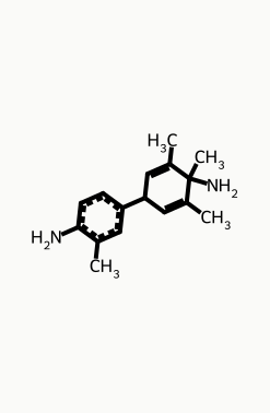 CC1=CC(c2ccc(N)c(C)c2)C=C(C)C1(C)N